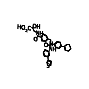 O=C(NC[C@@H](O)C(=O)O)c1ccc(CN(C(=O)Nc2cccc(-c3ccsc3)c2)c2ccc(C3=CCCCC3)cc2)cc1